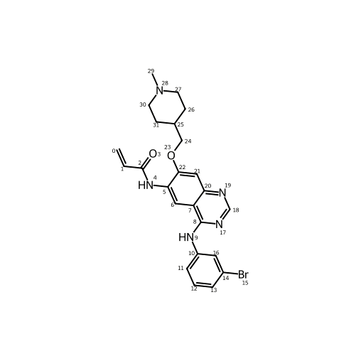 C=CC(=O)Nc1cc2c(Nc3cccc(Br)c3)ncnc2cc1OCC1CCN(C)CC1